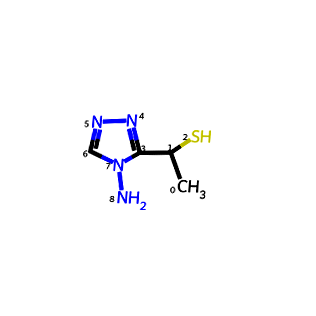 CC(S)c1nncn1N